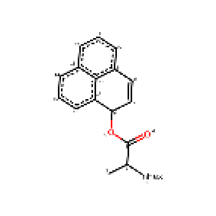 CCCCCCC(C)C(=O)OC1C=Cc2cccc3cccc1c23